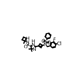 CC1(NC(=O)[C@@H]2NC(C34CC(N(Cc5ccc(Cl)c(F)c5)S(=O)(=O)c5ccccc5)(C3)C4)=NC2(C)C)CCC1